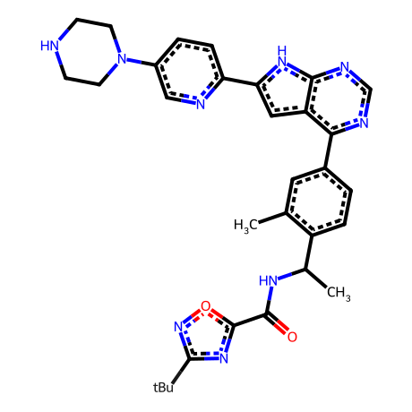 Cc1cc(-c2ncnc3[nH]c(-c4ccc(N5CCNCC5)cn4)cc23)ccc1C(C)NC(=O)c1nc(C(C)(C)C)no1